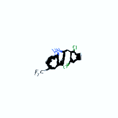 FC(F)(F)c1ccc2[nH]c(Cc3c(Cl)[c]ccc3Cl)cc2c1